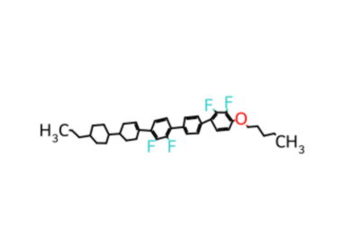 CCCCCOc1ccc(-c2ccc(-c3ccc(C4=CCC(C5CCC(CCC)CC5)CC4)c(F)c3F)cc2)c(F)c1F